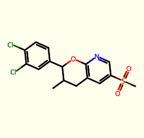 CC1Cc2cc(S(C)(=O)=O)cnc2OC1c1ccc(Cl)c(Cl)c1